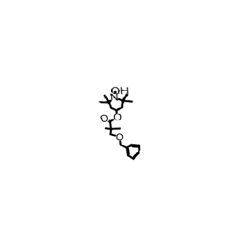 CC(C)(COCc1ccccc1)C(=O)OC1CC(C)(C)N(O)C(C)(C)C1